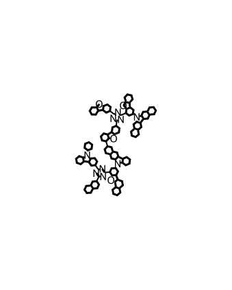 c1ccc(-n2c3ccccc3c3cc(-c4nc(-c5ccc6ccccc6c5)nc(-c5cc(-n6c7ccccc7c7cc8cc(-c9cccc%10c9oc9ccc(-c%11nc(-c%12ccc%13oc%14ccccc%14c%13c%12)nc(-c%12cc(-n%13c%14cc%15ccccc%15cc%14c%14cc%15ccccc%15cc%14%13)cc%13c%12oc%12ccccc%12%13)n%11)cc9%10)ccc8cc76)cc6c5oc5c7ccccc7ccc65)n4)ccc32)cc1